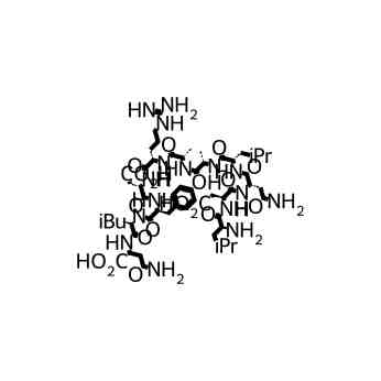 CC[C@H](C)[C@H](NC(=O)[C@H](Cc1ccccc1)NC(=O)[C@H](CC(=O)O)NC(=O)[C@H](CCCNC(=N)N)NC(=O)[C@H](C)NC(=O)[C@H](C)NC(=O)[C@H](CC(C)C)NC(=O)[C@H](CC(N)=O)NC(=O)[C@H](CC(=O)O)NC(=O)[C@@H](N)CC(C)C)C(=O)N[C@@H](CC(N)=O)C(=O)O